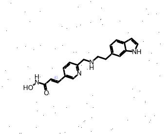 O=C(/C=C/c1ccc(CNCCc2ccc3cc[nH]c3c2)nc1)NO